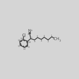 CCCCCCCC(C#N)c1ccccc1Cl